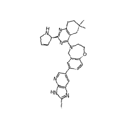 Cc1nc2cc(-c3ccc4c(c3)CN(c3nc([C@H]5CCCN5)nc5c3CC(C)(C)CC5)CCO4)cnc2[nH]1